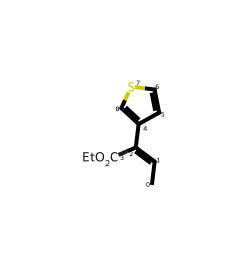 CC=C(C(=O)OCC)c1ccsc1